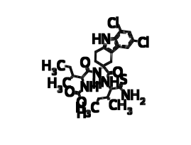 CCC(C)C(NC(=O)O)C(=O)N[C@]1(C(=O)NC(C(N)=S)[C@@H](C)CC)CCc2[nH]c3c(Cl)cc(Cl)cc3c2C1